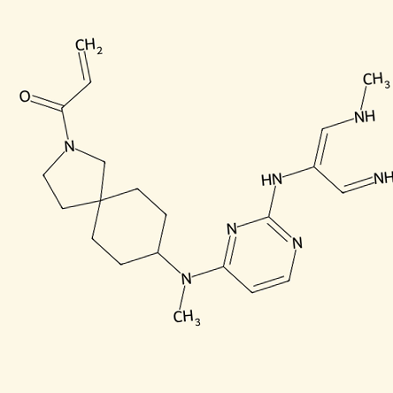 C=CC(=O)N1CCC2(CCC(N(C)c3ccnc(N/C(C=N)=C/NC)n3)CC2)C1